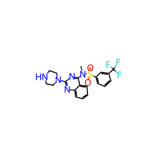 CN(c1nc(N2CCNCC2)nc2ccccc12)S(=O)(=O)c1cccc(C(F)(F)F)c1